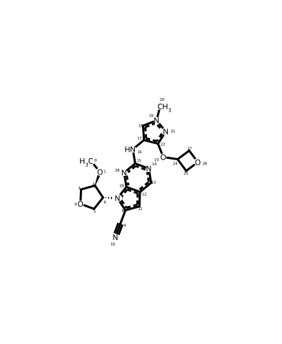 CO[C@@H]1COC[C@H]1n1c(C#N)cc2cnc(Nc3cn(C)nc3OC3COC3)nc21